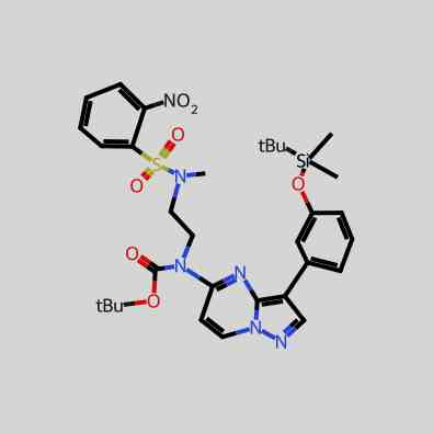 CN(CCN(C(=O)OC(C)(C)C)c1ccn2ncc(-c3cccc(O[Si](C)(C)C(C)(C)C)c3)c2n1)S(=O)(=O)c1ccccc1[N+](=O)[O-]